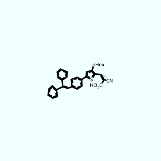 CCCCCCc1cc(-c2ccc(C=C(c3ccccc3)c3ccccc3)cc2)sc1/C=C(/C#N)C(=O)O